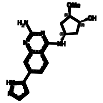 CO[C@@H]1C[C@@H](Nc2nc(N)nc3cc(-c4ccn[nH]4)ccc23)C[C@H]1O